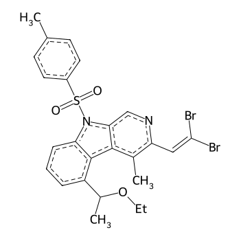 CCOC(C)c1cccc2c1c1c(C)c(C=C(Br)Br)ncc1n2S(=O)(=O)c1ccc(C)cc1